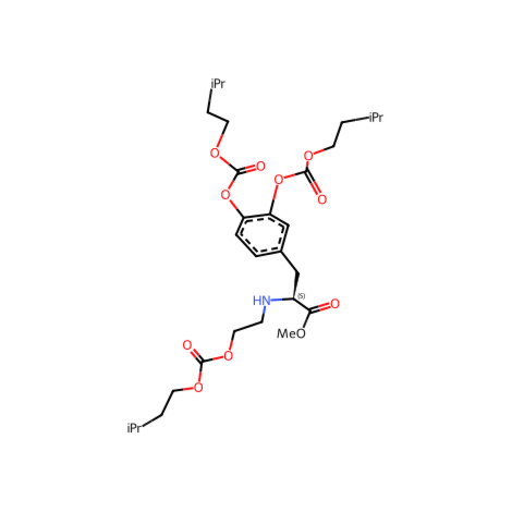 COC(=O)[C@H](Cc1ccc(OC(=O)OCCC(C)C)c(OC(=O)OCCC(C)C)c1)NCCOC(=O)OCCC(C)C